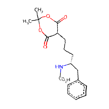 CC1(C)OC(=O)C(CCC[C@H](Cc2ccccc2)NC(=O)O)C(=O)O1